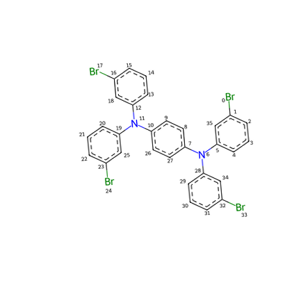 Brc1cccc(N(c2ccc(N(c3cccc(Br)c3)c3cccc(Br)c3)cc2)c2cccc(Br)c2)c1